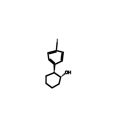 O[C@@H]1CCCC[C@H]1c1ccc(I)cc1